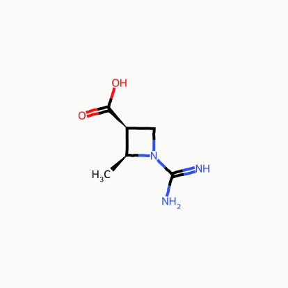 C[C@H]1[C@@H](C(=O)O)CN1C(=N)N